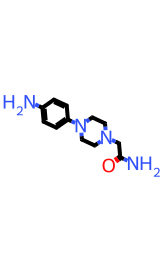 NC(=O)CN1CCN(c2ccc(N)cc2)CC1